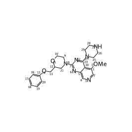 COc1cncc2nc(N3CCOC(COc4ccccc4)C3)nc(N3CCNCC3)c12